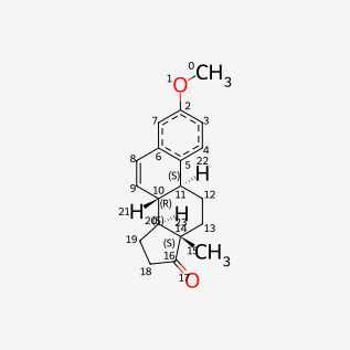 COc1ccc2c(c1)C=C[C@@H]1[C@@H]2CC[C@]2(C)C(=O)CC[C@@H]12